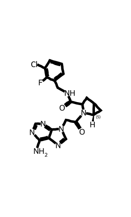 Nc1ncnc2c1ncn2CC(=O)N1C(C(=O)NCc2cccc(Cl)c2F)CC2C[C@@H]21